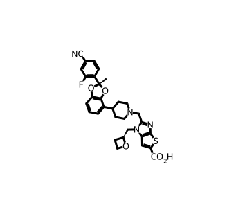 C[C@]1(c2ccc(C#N)cc2F)Oc2cccc(C3CCN(Cc4nc5sc(C(=O)O)cc5n4C[C@@H]4CCO4)CC3)c2O1